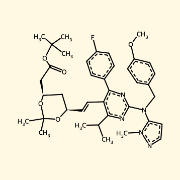 COc1ccc(CN(c2nc(-c3ccc(F)cc3)c(/C=C/[C@@H]3C[C@H](CC(=O)OC(C)(C)C)OC(C)(C)O3)c(C(C)C)n2)c2ccnn2C)cc1